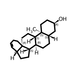 C[C@]12CC[C@@H](O)C[C@@H]1CC[C@@H]1[C@@H]2CC[C@@]23CCC=C[C@H]2CC[C@@H]13